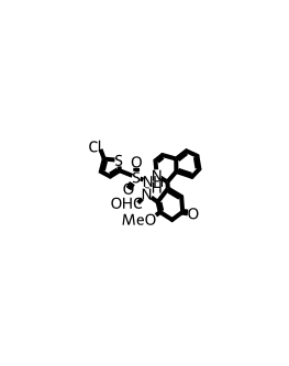 COC1=C(N(C=O)NS(=O)(=O)c2ccc(Cl)s2)C(C2NC=Cc3ccccc32)=CC(=O)C1